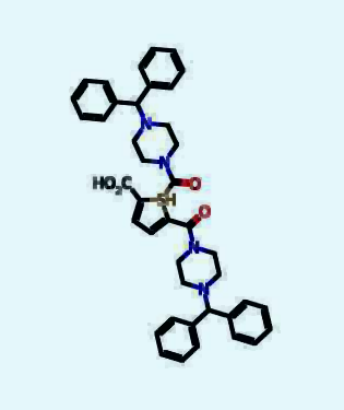 O=C(O)C1=CC=C(C(=O)N2CCN(C(c3ccccc3)c3ccccc3)CC2)[SH]1C(=O)N1CCN(C(c2ccccc2)c2ccccc2)CC1